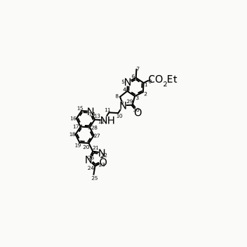 CCOC(=O)c1cc2c(nc1C)CN(CCNc1nccc3ccc(-c4noc(C)n4)cc13)C2=O